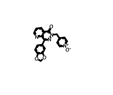 O=c1c2cccnc2c(-c2ccc3c(c2)OCO3)nn1Cc1cc[n+]([O-])cc1